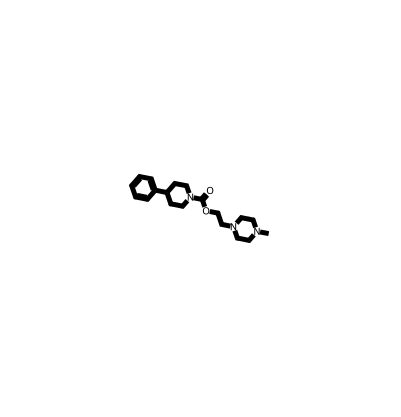 CN1CCN(CCOC(=O)N2CCC(c3ccccc3)CC2)CC1